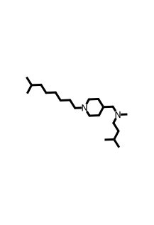 CC(C)CCCCCCN1CCC(CN(C)CCC(C)C)CC1